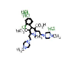 CN1CCN(CCC2=C(C(=O)O)C(c3ccccc3Cl)C(C(=O)O)=C(CCN3CCN(C)CC3)N2C)CC1.Cl.Cl.Cl.Cl